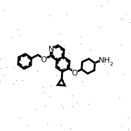 NC1CCC(Oc2cc3ccnc(OCc4ccccc4)c3cc2C2CC2)CC1